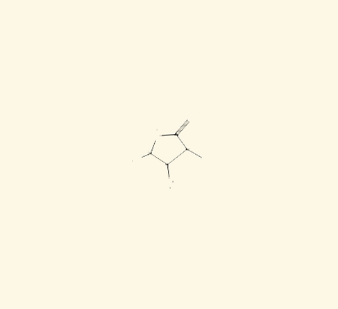 CC1C(=O)OC(F)C1O